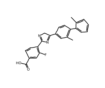 Cc1ccccc1-c1ccc(C2=NC(c3ccc(C(=O)O)cc3F)=NC2)cc1C